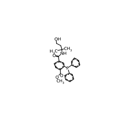 COC(=O)c1ccc(C(=O)NC(C)(C)CCO)cc1P(c1ccccc1)c1ccccc1